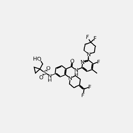 Cc1cc(NC(=O)c2ccc(NS(=O)(=O)C3(CO)CC3)cc2N2CCC(=C(F)F)CC2)nc(N2CCC(F)(F)CC2)c1F